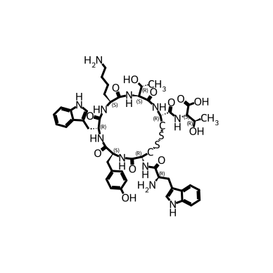 C[C@@H](O)[C@H](NC(=O)[C@@H]1CSSC[C@H](NC(=O)[C@H](N)Cc2c[nH]c3ccccc23)C(=O)N[C@@H](Cc2ccc(O)cc2)C(=O)N[C@H](Cc2c[nH]c3ccccc23)C(=O)N[C@@H](CCCCN)C(=O)N[C@@H]([C@@H](C)O)C(=O)N1)C(=O)O